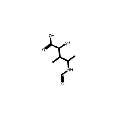 CC(NC=O)C(C)C(S)C(=O)O